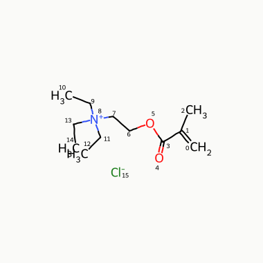 C=C(C)C(=O)OCC[N+](CC)(CC)CC.[Cl-]